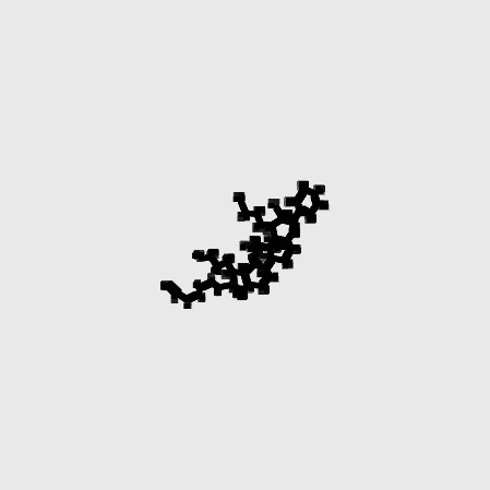 C#C/C=C\C=C/Cc1sc2cc/c(=c3\ccc4c(\c3=C\C)C(CCCC)C(C)=C(c3ccccc3)S4)c(=C)c2c1CCCC